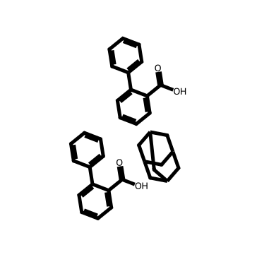 C1C2CC3CC1CC(C2)C3.O=C(O)c1ccccc1-c1ccccc1.O=C(O)c1ccccc1-c1ccccc1